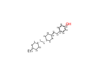 CC[C@H]1CC[C@H](CC[C@H]2CC[C@H](CCc3ccc(O)cc3)CC2)CC1